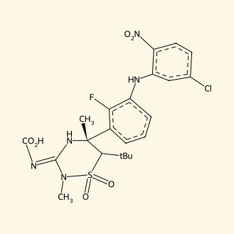 CN1C(=NC(=O)O)N[C@](C)(c2cccc(Nc3cc(Cl)ccc3[N+](=O)[O-])c2F)C(C(C)(C)C)S1(=O)=O